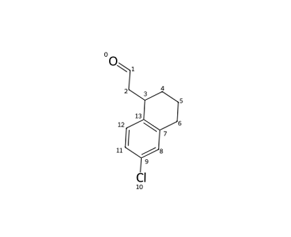 O=CCC1CCCc2cc(Cl)ccc21